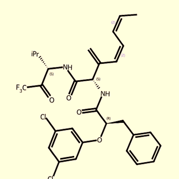 C=C(/C=C\C=C/C)[C@H](NC(=O)[C@@H](Cc1ccccc1)Oc1cc(Cl)cc(Cl)c1)C(=O)N[C@H](C(=O)C(F)(F)F)C(C)C